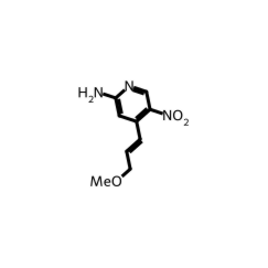 COCC=Cc1cc(N)ncc1[N+](=O)[O-]